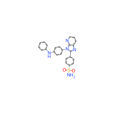 NS(=O)(=O)c1ccc(-c2nc3cccnc3n2-c2ccc(Nc3ccccc3)cc2)cc1